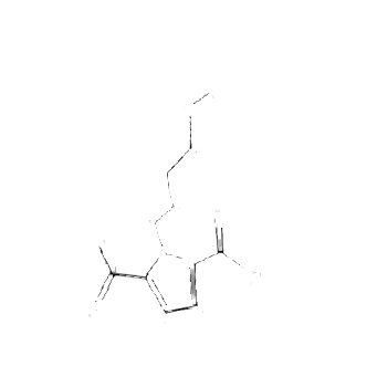 COCCCCn1c(C(C)=O)ccc1C(=O)O